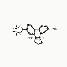 CCCCc1ccc2c(c1)[C@@]1(C)CCC[C@@]1(CCC)c1cc(B3OC(C)(C)C(C)(C)O3)ccc1-2